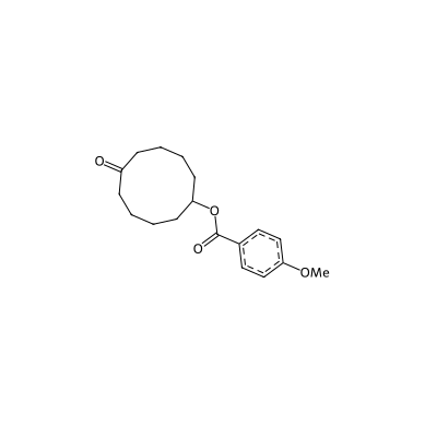 COc1ccc(C(=O)OC2CCCCC(=O)CCCC2)cc1